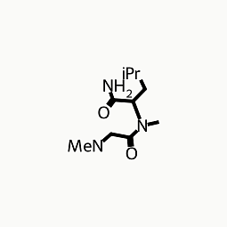 CNCC(=O)N(C)C(CC(C)C)C(N)=O